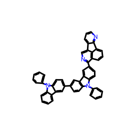 c1ccc(-n2c3ccccc3c3cc(-c4ccc5c(c4)c4cc(-c6ncc7c8c(cccc68)-c6ncccc6-7)ccc4n5-c4ccccc4)ccc32)cc1